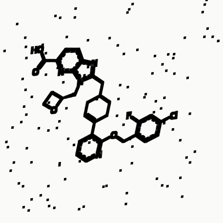 O=C(O)c1ccc2nc(CC3CC=C(c4cccnc4OCc4ccc(Cl)cc4F)CC3)n(C[C@@H]3CCO3)c2n1